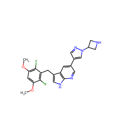 COc1cc(OC)c(F)c(Cc2c[nH]c3ncc(-c4cnn(C5CNC5)c4)cc23)c1F